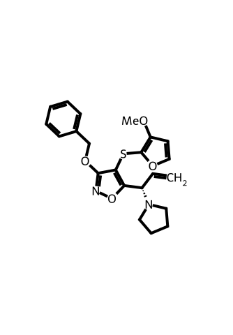 C=C[C@@H](c1onc(OCc2ccccc2)c1Sc1occc1OC)N1CCCC1